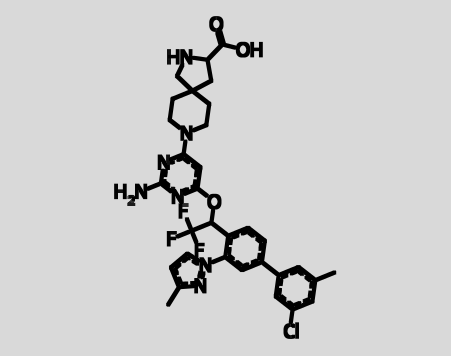 Cc1cc(Cl)cc(-c2ccc(C(Oc3cc(N4CCC5(CC4)CNC(C(=O)O)C5)nc(N)n3)C(F)(F)F)c(-n3ccc(C)n3)c2)c1